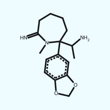 CC(N)C1(c2ccc3c(c2)OCO3)CCCCC(=N)N1C